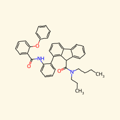 CCCCN(CCC)C(=O)C1c2ccccc2-c2cccc(-c3ccccc3NC(=O)c3ccccc3Oc3ccccc3)c21